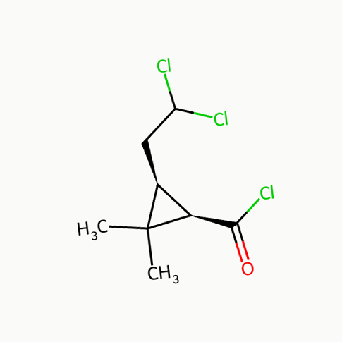 CC1(C)[C@H](C(=O)Cl)[C@@H]1CC(Cl)Cl